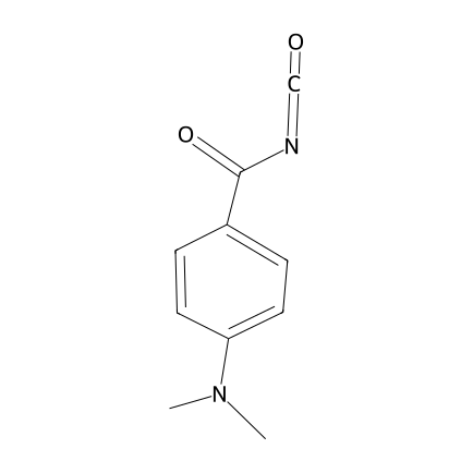 CN(C)c1ccc(C(=O)N=C=O)cc1